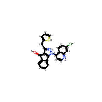 O=C1c2ccccc2-c2c1c(Cc1cccs1)nn2-c1ccnc2cc(Cl)ccc12